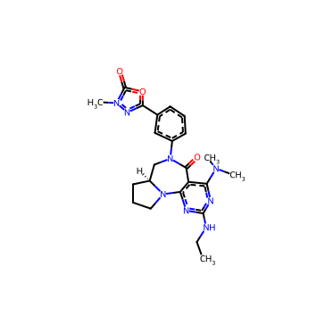 CCNc1nc(N(C)C)c2c(n1)N1CCC[C@H]1CN(c1cccc(-c3nn(C)c(=O)o3)c1)C2=O